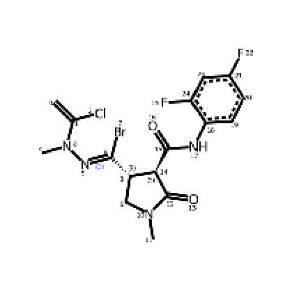 C=C(Cl)N(C)/N=C(\Br)[C@H]1CN(C)C(=O)[C@@H]1C(=O)Nc1ccc(F)cc1F